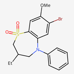 CCC1CN(c2ccccc2)c2cc(Br)c(OC)cc2S(=O)(=O)C1